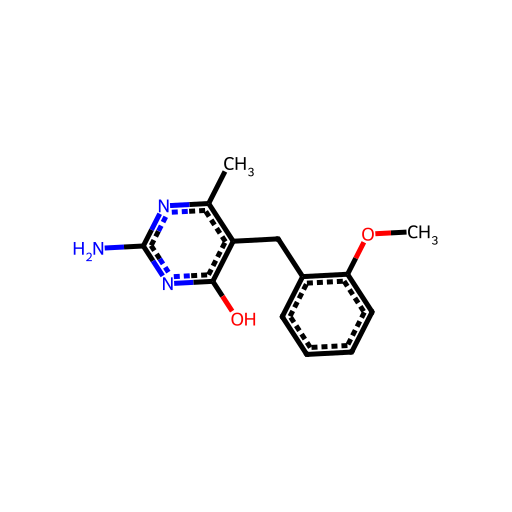 COc1ccccc1Cc1c(C)nc(N)nc1O